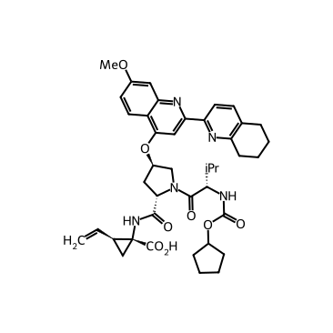 C=C[C@@H]1C[C@]1(NC(=O)[C@@H]1C[C@@H](Oc2cc(-c3ccc4c(n3)CCCC4)nc3cc(OC)ccc23)CN1C(=O)[C@@H](NC(=O)OC1CCCC1)C(C)C)C(=O)O